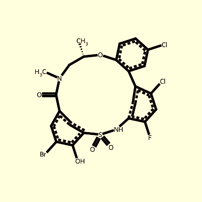 C[C@H]1CN(C)C(=O)c2cc(Br)c(O)c(c2)S(=O)(=O)Nc2cc(c(Cl)cc2F)-c2cc(Cl)ccc2O1